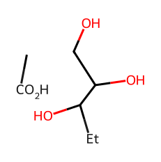 CC(=O)O.CCC(O)C(O)CO